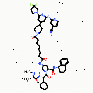 CN[C@@H](C)C(=O)N[C@H](C(=O)N1C[C@@H](NC(=O)CCCCCCC(=O)N2CCC(c3cc(Nc4cc(C#N)ccn4)nc(N4CCC(F)(F)C4)c3)CC2)C[C@H]1C(=O)N[C@@H]1CCCc2ccccc21)C1CCCCC1